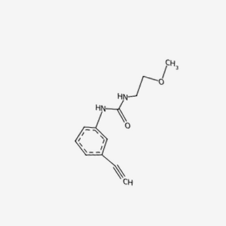 C#Cc1cccc(NC(=O)NCCOC)c1